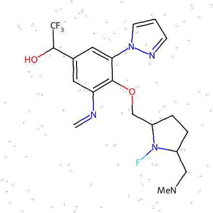 C=Nc1cc(C(O)C(F)(F)F)cc(-n2cccn2)c1OCC1CCC(CNC)N1F